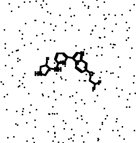 FC(F)COc1ccn2c(-c3cccc(NC4CNCC4F)n3)cnc2c1